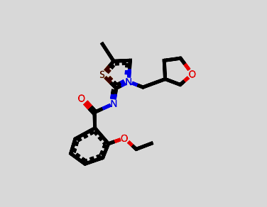 CCOc1ccccc1C(=O)N=c1sc(C)cn1CC1CCOC1